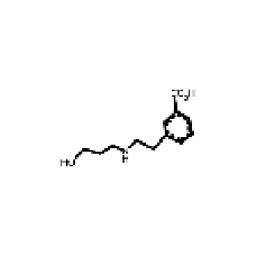 O=C(O)c1cccc(CCNCCCO)c1